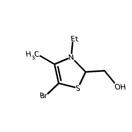 CCN1C(C)=C(Br)SC1CO